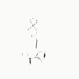 CC1(CNCCn2c[c]nc2C(N)=O)COC1